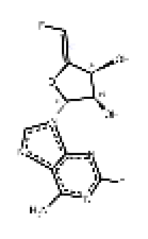 Nc1nc(F)nc2c1ncn2[C@@H]1O/C(=C\F)[C@@H](O)[C@H]1O